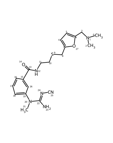 CN(C)Cc1ccc(CSCCNC(=O)c2cccc(N(C)C(N)=NC#N)c2)o1